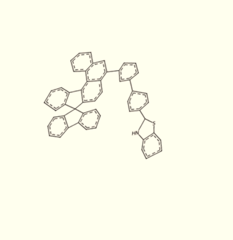 c1cc(-c2ccc(C3Nc4ccccc4S3)cc2)cc(-c2cc3ccccc3c3c4c(ccc23)C2(c3ccccc3-c3ccccc32)c2ccccc2-4)c1